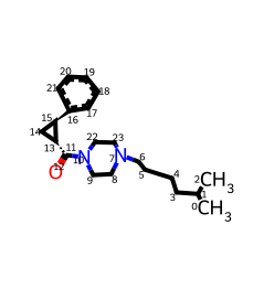 CC(C)CCCCN1CCN(C(=O)[C@@H]2C[C@H]2c2ccccc2)CC1